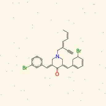 C#C/C(=C\C=C/C)CN1C/C(=C\C2=CC=CC(Br)C2)C(=O)/C(=C/c2cccc(Br)c2)C1